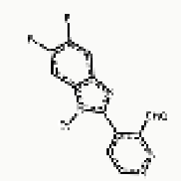 CCn1c(-c2ccnnc2C=O)nc2cc(F)c(F)cc21